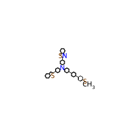 CSC1=CC=C(c2ccc(-c3ccc(N(c4ccc(-c5cc6ccccc6s5)cc4)c4ccc(-c5nc6ccccc6s5)cc4)cc3)cc2)CC1